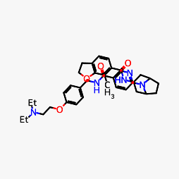 CCN(CC)CCOc1ccc(CNC(=O)c2ccc(N3C4CCC3CC(NC(=O)c3ccc5c(c3C)OCC5)C4)nc2)cc1